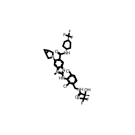 Cn1c(Nc2c(Cl)ccc(CNC(=O)[C@](C)(O)C(F)(F)F)c2Cl)nc2cc(C(=O)N[C@H]3CC[C@H](C(F)(F)F)CC3)c(N3CC4CC4C3)cc21